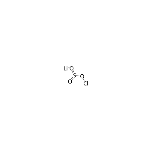 O=[S-](=O)OCl.[Li+]